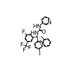 O=C(Nc1cccnc1)N[C@](Cc1ccccc1)(c1cc(F)cc(C(F)(F)F)c1)c1ccc(I)cn1